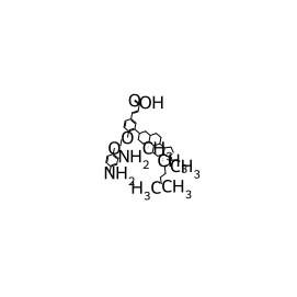 CC(C)CCC[C@@H](C)[C@H]1CCC2C3CCC4CC(c5cc(C=CC(=O)O)ccc5OCCOc5ccc(N)cc5N)CC[C@]4(C)C3CC[C@@]21C